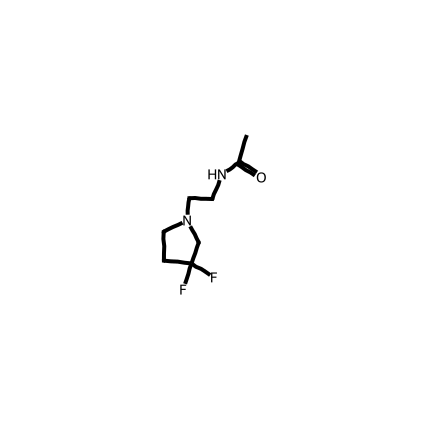 CC(=O)NCCN1CCC(F)(F)C1